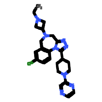 FC(F)(F)CN1CC(N2Cc3cc(Cl)ccc3-n3c(nnc3C3CCN(c4cnccn4)CC3)C2)C1